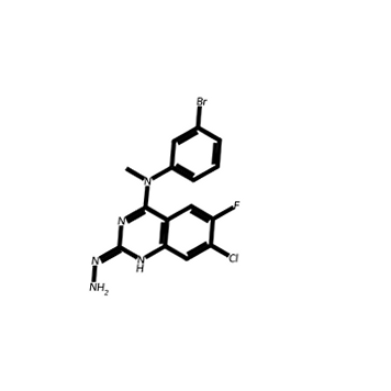 CN(c1cccc(Br)c1)c1n/c(=N/N)[nH]c2cc(Cl)c(F)cc12